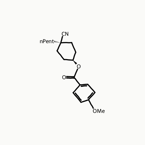 CCCCC[C@]1(C#N)CC[C@@H](OC(=O)c2ccc(OC)cc2)CC1